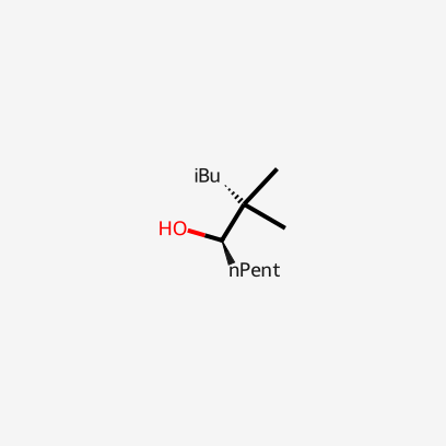 CCCCC[C@@H](O)C(C)(C)[C@@H](C)CC